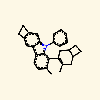 CC1=C(c2c(C)ccc3c4cc5c(cc4n(-c4ccccc4)c23)CC5)CC2CCC2C1